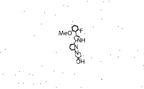 COc1cccc(F)c1C1=CNC(c2cccc(N3CC[C@@H](O)C3)n2)C1